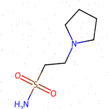 NS(=O)(=O)CCN1CCCC1